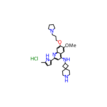 COc1cc2c(NC3CC4(CCNCC4)C3)cc(-c3ccc(C)[nH]3)nc2cc1OCCCN1CCCC1.Cl